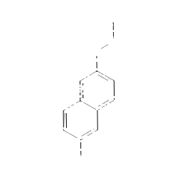 COSc1ccc2cc(O)ccc2c1